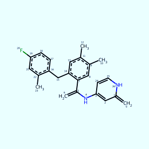 C=C1C=C(NC(=C)c2cc(C)c(C)cc2Cc2ccc(F)cc2C)C=CN1